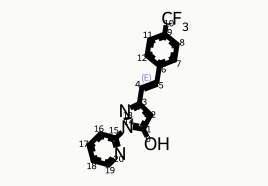 Oc1cc(/C=C/c2ccc(C(F)(F)F)cc2)nn1-c1ccccn1